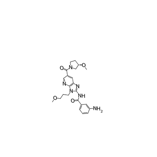 COCCCn1c(NC(=O)c2cccc(N)c2)nc2cc(C(=O)N3CC[C@@H](OC)C3)cnc21